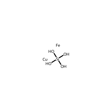 O[Si](O)(O)O.[Cu].[Fe]